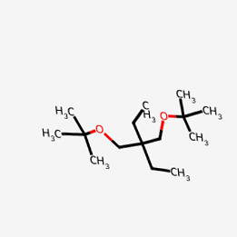 CCC(CC)(COC(C)(C)C)COC(C)(C)C